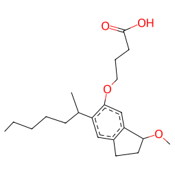 CCCCCC(C)c1cc2c(cc1OCCCC(=O)O)C(OC)CC2